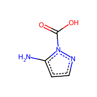 Nc1ccnn1C(=O)O